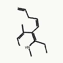 C=CC\C=C/C(C(/C)=C\C)=C(\CC)NC